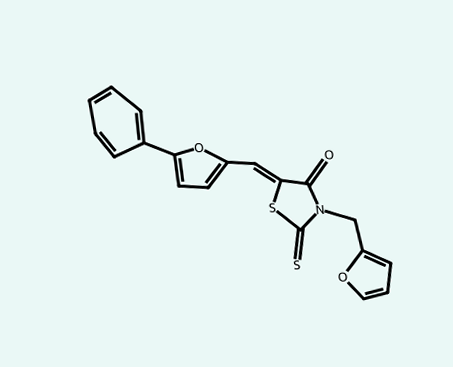 O=C1/C(=C/c2ccc(-c3ccccc3)o2)SC(=S)N1Cc1ccco1